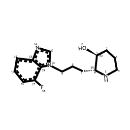 O[C@H]1CCCN[C@@H]1CCCn1cnc2cccc(F)c21